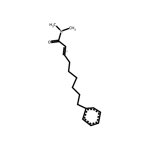 CN(C)C(=O)/C=C/CCCCCCc1ccccc1